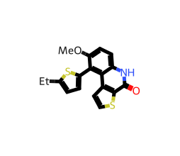 CCc1ccc(-c2c(OC)ccc3[nH]c(=O)c4sccc4c23)s1